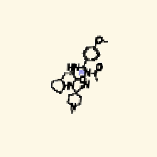 COc1ccc(/C(=N\C(C)=O)N[C@@H](CC2CCCCC2)C(=O)NC2(C#N)CCN(C)CC2)cc1